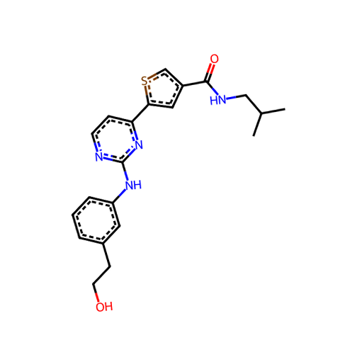 CC(C)CNC(=O)c1csc(-c2ccnc(Nc3cccc(CCO)c3)n2)c1